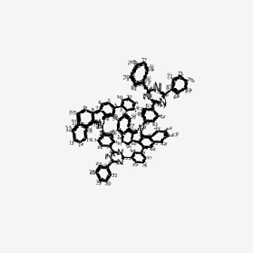 c1ccc(-c2ccc3c4ccc5ccccc5c4n(-c4ccc(-c5nc(-c6ccccc6)nc(-c6cccc(-c7cc8ccccc8c8c7c7ccc9ccccc9c7n8-c7ccc(-c8nc(-c9ccccc9)nc(-c9ccccc9)n8)cc7)c6)n5)cc4)c3c2)cc1